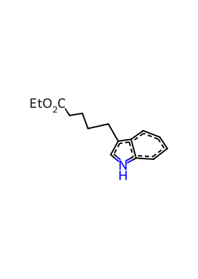 CCOC(=O)CCCCc1c[nH]c2ccccc12